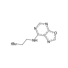 CC(C)(C)CCNc1ncnc2ocnc12